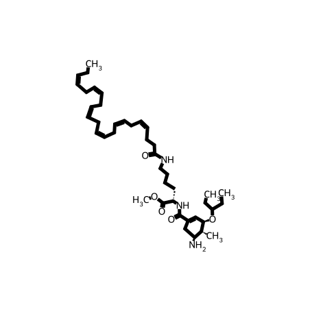 CC/C=C\C/C=C\C/C=C\C/C=C\C/C=C\C/C=C\CCC(=O)NCCCC[C@H](NC(=O)C1=C[C@@H](OC(CC)CC)[C@H](C)[C@@H](N)C1)C(=O)OC